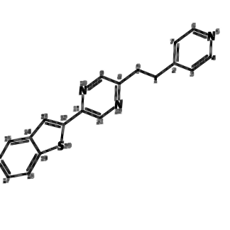 [CH](Cc1ccncc1)c1cnc(-c2cc3ccccc3s2)cn1